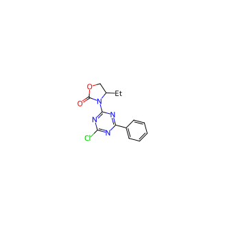 CCC1COC(=O)N1c1nc(Cl)nc(-c2ccccc2)n1